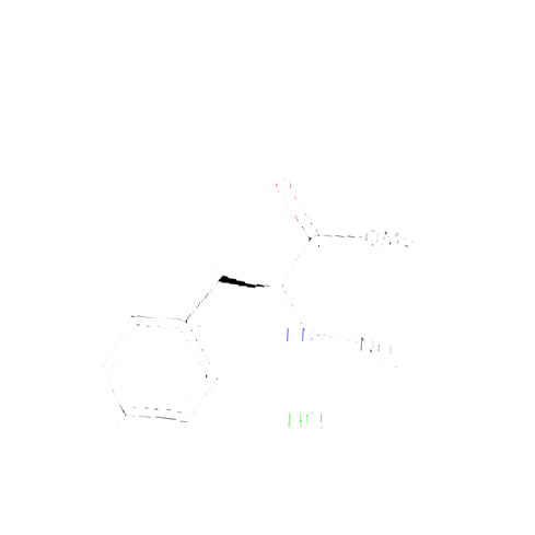 COC(=O)[C@H](Cc1ccccc1)N[N+](=O)[O-].Cl